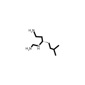 CC(C)CC[C@@H](CCN)NCN